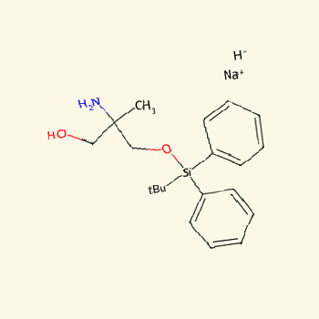 CC(N)(CO)CO[Si](c1ccccc1)(c1ccccc1)C(C)(C)C.[H-].[Na+]